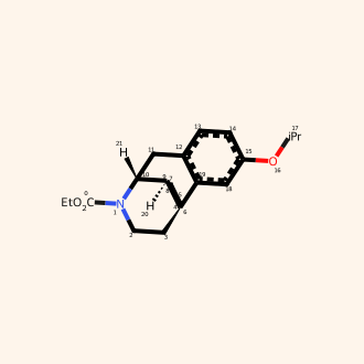 CCOC(=O)N1CC[C@]23CCCC[C@@H]2[C@H]1Cc1ccc(OC(C)C)cc13